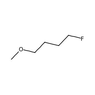 COCCCCF